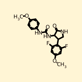 COc1ccc(NC(=O)NC2C(=O)NCC2c2c(F)cc(OC)cc2F)cc1